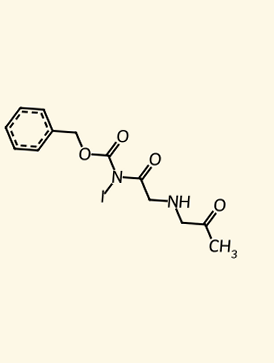 CC(=O)CNCC(=O)N(I)C(=O)OCc1ccccc1